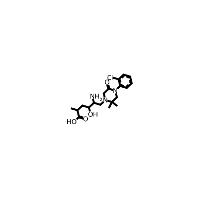 CC(CC(O)C(N)CN1CC(=O)N(c2ccccc2Cl)CC1(C)C)C(=O)O